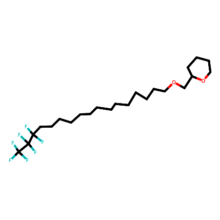 FC(F)(F)C(F)(F)C(F)(F)CCCCCCCCCCCCCCOCC1CCCCO1